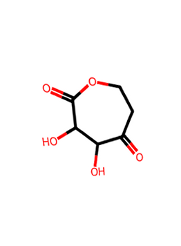 O=C1CCOC(=O)C(O)C1O